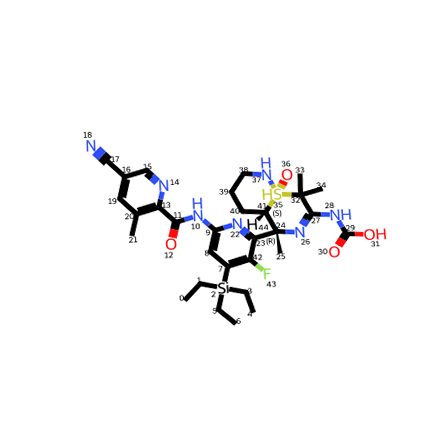 CC[Si](CC)(CC)c1cc(NC(=O)c2ncc(C#N)cc2C)nc([C@@]2(C)N=C(NC(=O)O)C(C)(C)[SH]3(=O)NCCC[C@@H]23)c1F